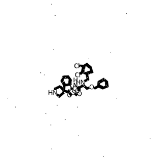 CS(=O)(=O)[N+]1(NC(=O)C(COCc2ccccc2)NCc2cccc(Cl)c2Cl)CC2(CCNCC2)c2ccccc21